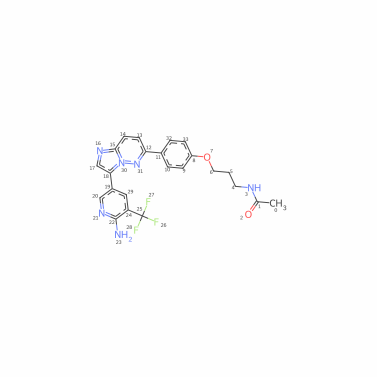 CC(=O)NCCCOc1ccc(-c2ccc3ncc(-c4cnc(N)c(C(F)(F)F)c4)n3n2)cc1